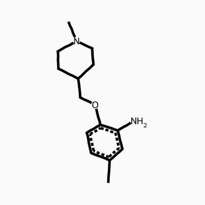 Cc1ccc(OCC2CCN(C)CC2)c(N)c1